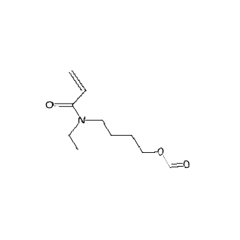 C=CC(=O)N(CC)CCCCOC=O